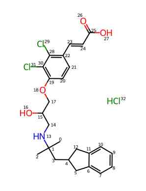 CC(C)(CC1Cc2ccccc2C1)NCC(O)COc1ccc(C=CC(=O)O)c(Cl)c1Cl.Cl